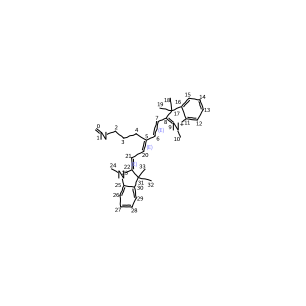 C=NCCCC(/C=C/C1=[N+](C)c2ccccc2C1(C)C)=C\C=C1\N(C)c2ccccc2C1(C)C